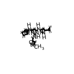 Cc1cc(CNc2nc(Nc3cc(C4CC4)[nH]n3)cc(NC3CC4CCC(C3)N4C)n2)on1